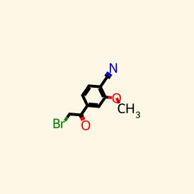 COc1cc(C(=O)CBr)ccc1C#N